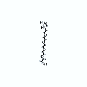 NCNCCOCCOCCOCCOCCO